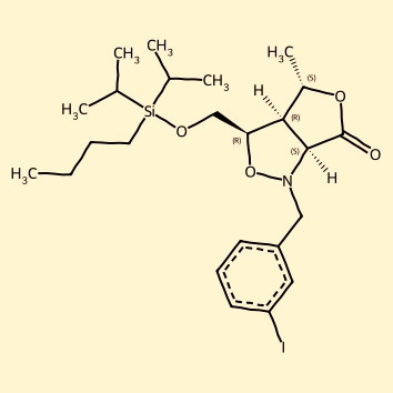 CCCC[Si](OC[C@@H]1ON(Cc2cccc(I)c2)[C@@H]2C(=O)O[C@@H](C)[C@H]12)(C(C)C)C(C)C